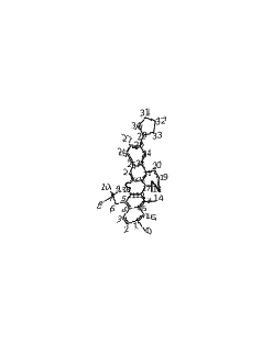 Cc1ccc2c(CC(C)(C)C)c3c(c(C)c2c1)-c1nccc2c1c(cc1ccc(C4CCCC4)cc12)S3